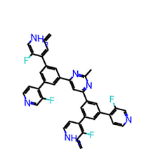 C=C/C=C(\C(F)=C/N)c1cc(-c2cc(-c3cc(C(/C=C\N)=C(\F)C=C)cc(-c4ccncc4F)c3)nc(C)n2)cc(-c2ccncc2F)c1